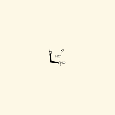 O=[C]CCl.[K+].[OH-]